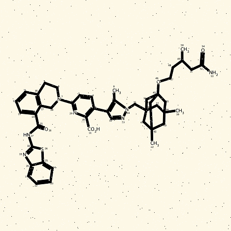 Cc1c(-c2ccc(N3CCc4cccc(C(=O)Nc5nc6ccccc6s5)c4C3)nc2C(=O)O)cnn1CC12CC3(C)CC(C)(C1)CC(OCCC(C)CC(N)=O)(C3)C2